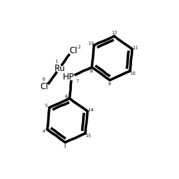 [Cl][Ru][Cl].c1ccc(Pc2ccccc2)cc1